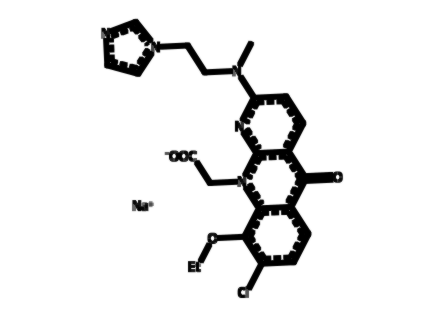 CCOc1c(Cl)ccc2c(=O)c3ccc(N(C)CCn4ccnc4)nc3n(CC(=O)[O-])c12.[Na+]